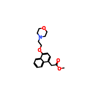 COC(=O)Cc1ccc(OCCN2CCOCC2)c2ccccc12